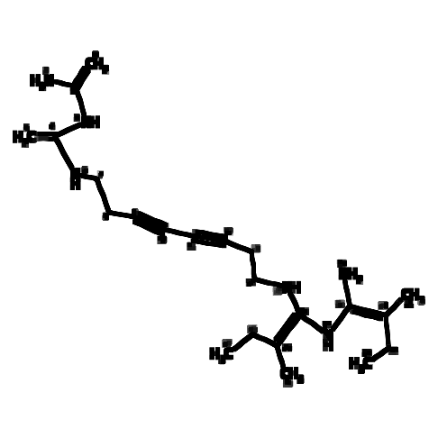 C=C(N)NC(=C)NCCC#CC#CCCN/C(N/C(N)=C(/C)CC)=C(/C)CC